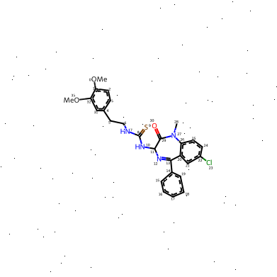 COc1ccc(CCNC(=S)NC2N=C(c3ccccc3)c3cc(Cl)ccc3N(C)C2=O)cc1OC